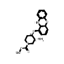 CC(C)(C)OC(=O)N1CC[C@@H](OC2=CC=CC3Oc4ccccc4NC23)[C@H](N)C1